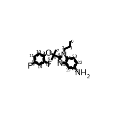 CCCn1c(C(C)(C)Oc2ccc(F)cc2F)nc2cc(N)ccc21